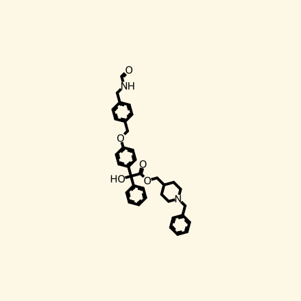 O=CNCc1ccc(COc2ccc(C(O)(C(=O)OCC3CCN(Cc4ccccc4)CC3)c3ccccc3)cc2)cc1